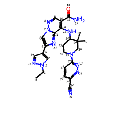 CCn1cc(-c2cn3ncc(C(N)=O)c(NC4CCN(c5ccc(C#N)nn5)CC4(C)C)c3n2)cn1